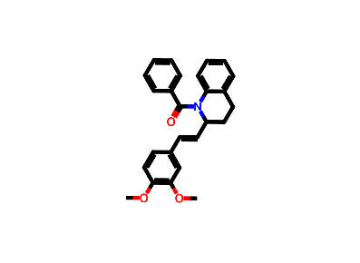 COc1ccc(C=CC2CCc3ccccc3N2C(=O)c2ccccc2)cc1OC